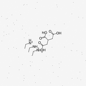 CCN.CCN.CCN.O=C(O)CC(CC(=O)O)C(=O)O